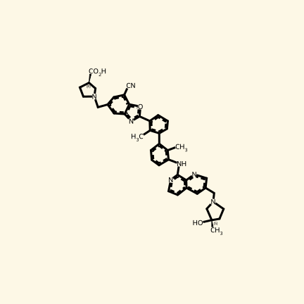 Cc1c(Nc2nccc3cc(CN4CC[C@](C)(O)C4)cnc23)cccc1-c1cccc(-c2nc3cc(CN4CC[C@@H](C(=O)O)C4)cc(C#N)c3o2)c1C